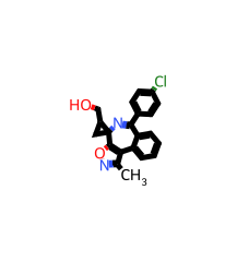 Cc1noc2c1-c1ccccc1C(c1ccc(Cl)cc1)=NC21CC1CO